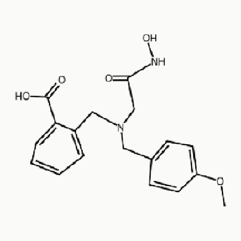 COc1ccc(CN(CC(=O)NO)Cc2ccccc2C(=O)O)cc1